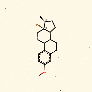 COc1ccc2c(c1)CCC1C2CC[C@@]2(S)C1CC[C@@H]2C